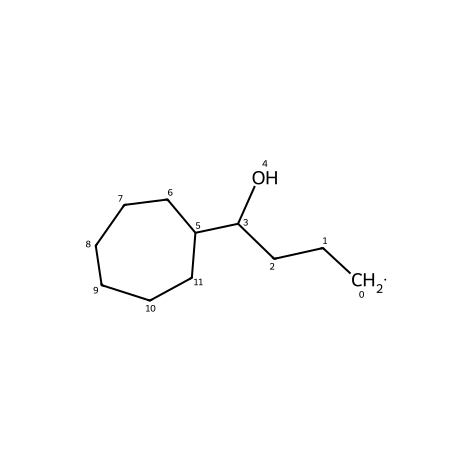 [CH2]CCC(O)C1CCCCCC1